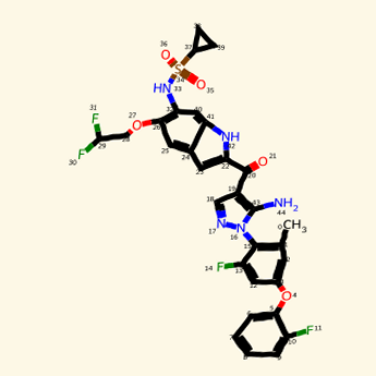 Cc1cc(Oc2ccccc2F)cc(F)c1-n1ncc(C(=O)c2cc3cc(OCC(F)F)c(NS(=O)(=O)C4CC4)cc3[nH]2)c1N